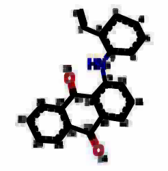 C=Cc1ccccc1Nc1cccc2c1C(=O)c1ccccc1C2=O